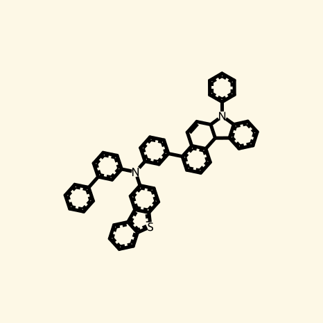 C1=CC2C(c3ccccc3N2c2ccccc2)c2cccc(-c3cccc(N(c4cccc(-c5ccccc5)c4)c4ccc5sc6ccccc6c5c4)c3)c21